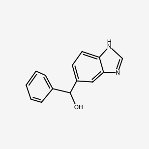 OC(c1ccccc1)c1ccc2[nH]cnc2c1